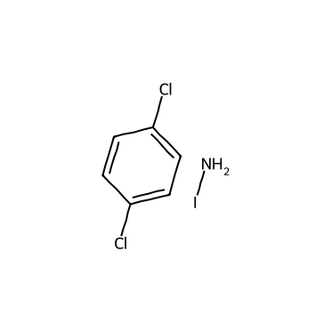 Clc1ccc(Cl)cc1.NI